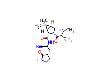 CNC(C)C(=O)N1C[C@H]2[C@@H]([C@H]1C(=O)NC(C#N)C[C@@H]1CCNC1=O)C2(C)C